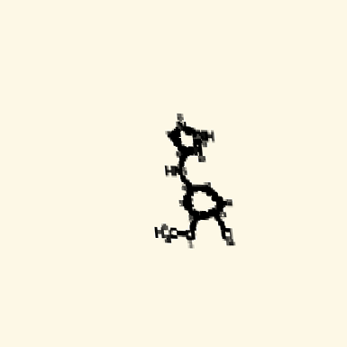 COc1cc(Nc2cn[nH]n2)ccc1Cl